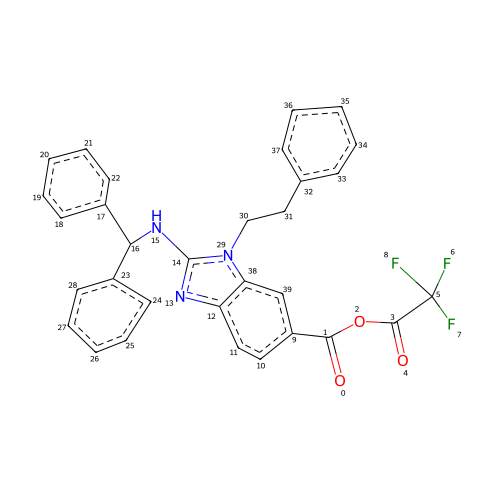 O=C(OC(=O)C(F)(F)F)c1ccc2nc(NC(c3ccccc3)c3ccccc3)n(CCc3ccccc3)c2c1